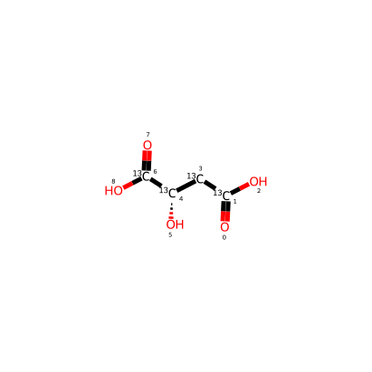 O=[13C](O)[13CH2][13C@H](O)[13C](=O)O